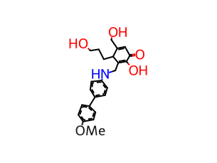 COc1ccc(-c2ccc(NCC3=C(O)C(=O)C=C(CO)C3CCCO)cc2)cc1